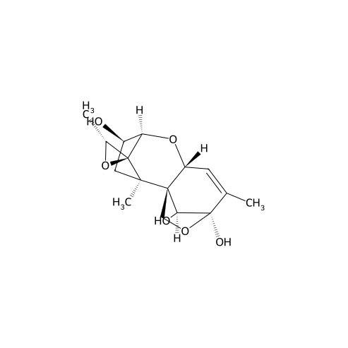 CC1=C[C@H]2O[C@@H]3[C@H](O)C[C@](C)([C@]24CO[C@@]1(O)[C@H]4O)[C@@]31O[C@@H]1C